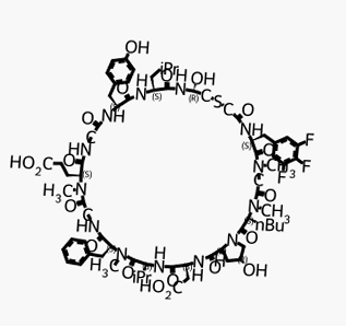 CCCC[C@H]1C(=O)N2C[C@H](O)C[C@@H]2C(=O)N[C@@H](CC(=O)O)C(=O)N[C@@H](C(C)C)C(=O)N(C)[C@@H](Cc2ccccc2)C(=O)NCC(=O)N(C)[C@@H](CCC(=O)O)C(=O)NCC(=O)N[C@@H](Cc2ccc(O)cc2)C(=O)N[C@@H](CC(C)C)C(=O)N[C@H](O)CSCC(=O)N[C@@H](Cc2cc(F)c(F)c(F)c2)C(=O)N(C)CC(=O)N1C